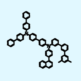 Cc1cc(C)cc(-c2cccc(-c3cccc(N(c4ccc(-c5ccc(N(c6ccc(-c7ccccc7)cc6)c6ccc(-c7ccccc7)cc6)cc5)cc4)c4ccc(-c5cccc6ccccc56)cc4)c3)c2)c1